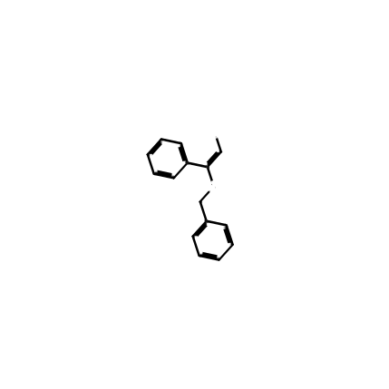 CCOC(=O)C=C(NCc1ccccc1)c1ccccc1